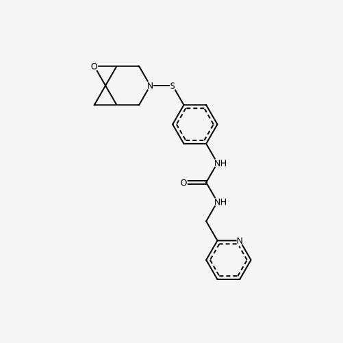 O=C(NCc1ccccn1)Nc1ccc(SN2CC3CC34OC4C2)cc1